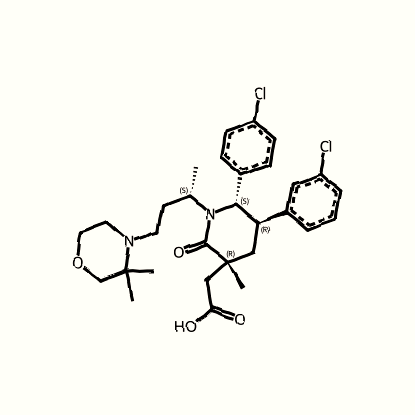 C[C@@H](CCN1CCOCC1(C)C)N1C(=O)[C@@](C)(CC(=O)O)C[C@H](c2cccc(Cl)c2)[C@H]1c1ccc(Cl)cc1